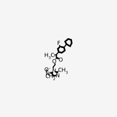 C=[N+]([O-])c1cnc(C)n1CCOC(=O)[C@@H](C)c1ccc(-c2ccccc2)c(F)c1